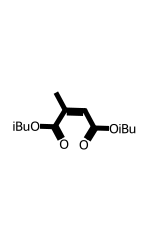 CC(=CC(=O)OCC(C)C)C(=O)OCC(C)C